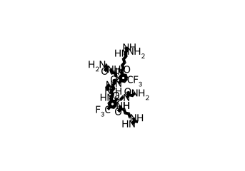 CC(=N)NCCCCC(=O)Nc1cc(C(F)(F)F)cc(NC(=O)c2cc(C(=O)Nc3cc(C(F)(F)F)cc(NC(=O)CCCCNC(=N)N)c3SCCNC(=O)CN)ncn2)c1SCCNC(=O)CN